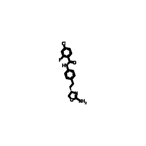 NC1=N[C@@H](CCc2ccc(NC(=O)c3ccc(Cl)cc3F)cc2)CO1